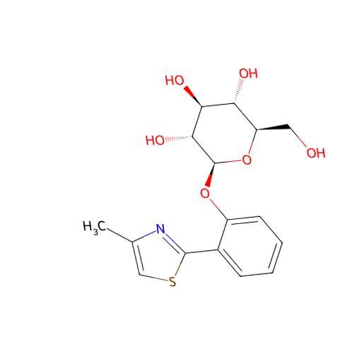 Cc1csc(-c2ccccc2O[C@@H]2O[C@H](CO)[C@@H](O)[C@H](O)[C@H]2O)n1